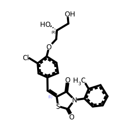 Cc1ccccc1N1C(=O)S/C(=C/c2ccc(OC[C@H](O)CO)c(Cl)c2)C1=O